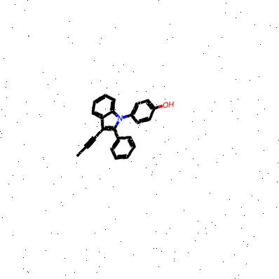 CC#Cc1c(-c2ccccc2)n(-c2ccc(O)cc2)c2ccccc12